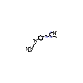 C=C/C=C(\C=C/N(C)C)/C=C/c1ccc(N(C)CCCn2ccnc2)cc1